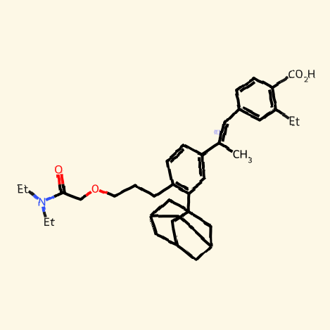 CCc1cc(/C=C(\C)c2ccc(CCCOCC(=O)N(CC)CC)c(C34CC5CC(CC(C5)C3)C4)c2)ccc1C(=O)O